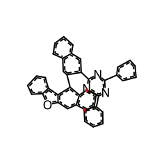 c1ccc(-c2nc(-c3ccccc3)nc(-c3cc4ccccc4cc3-c3c4ccccc4cc4oc5ccccc5c34)n2)cc1